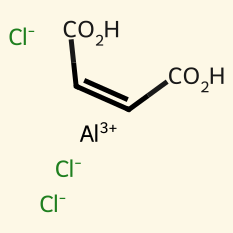 O=C(O)/C=C\C(=O)O.[Al+3].[Cl-].[Cl-].[Cl-]